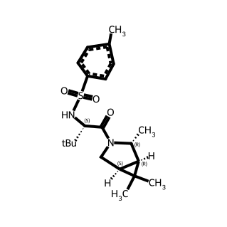 Cc1ccc(S(=O)(=O)N[C@H](C(=O)N2C[C@H]3[C@@H]([C@H]2C)C3(C)C)C(C)(C)C)cc1